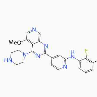 COc1cncc2nc(-c3ccnc(Nc4cccc(C)c4F)c3)nc(N3CCNCC3)c12